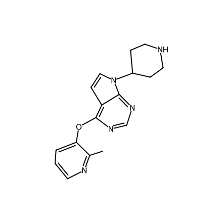 Cc1ncccc1Oc1ncnc2c1ccn2C1CCNCC1